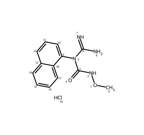 CONC(=O)N(C(=N)N)c1cccc2ccccc12.Cl